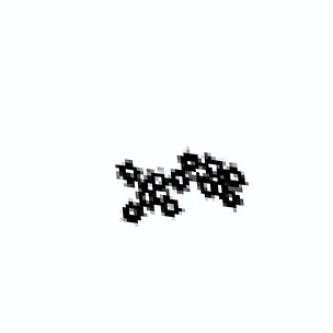 c1ccc(-c2cc(-c3ccccc3)c3c4cc(-c5ccc6c(c5)c5ccccc5n6-c5ccc6c(c5)C(c5ccccc5)(c5ccccc5)c5ccccc5-6)ccc4n(-c4ccccc4)c3c2)cc1